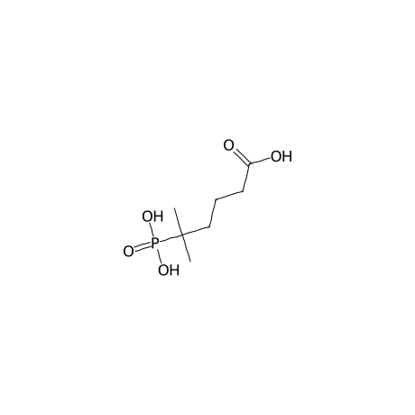 CC(C)(CCCC(=O)O)P(=O)(O)O